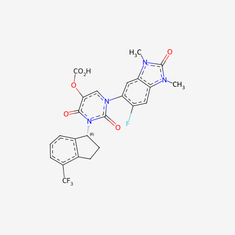 Cn1c(=O)n(C)c2cc(-n3cc(OC(=O)O)c(=O)n([C@@H]4CCc5c4cccc5C(F)(F)F)c3=O)c(F)cc21